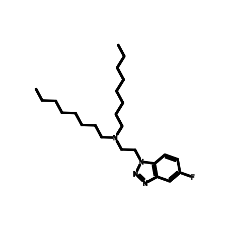 CCCCCCCCN(CCCCCCCC)CCn1nnc2cc(F)ccc21